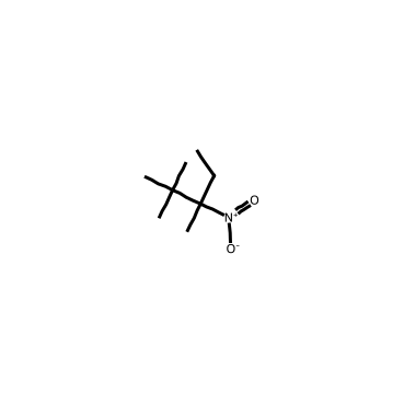 CCC(C)([N+](=O)[O-])C(C)(C)C